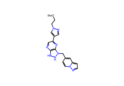 COCCn1cc(-c2cnc3c(n2)N(Cc2ccn4nccc4c2)NN3)cn1